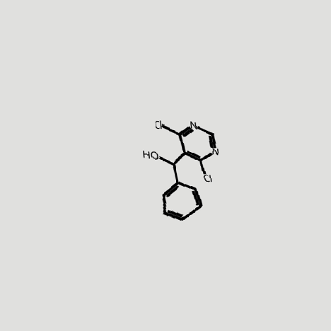 OC(c1ccccc1)c1c(Cl)ncnc1Cl